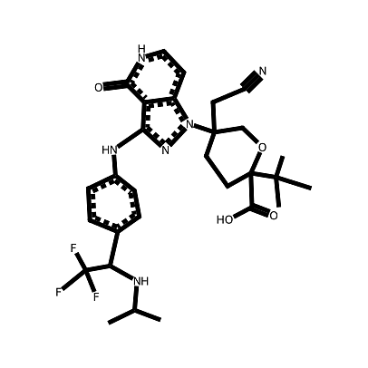 CC(C)NC(c1ccc(Nc2nn(C3(CC#N)CCC(C(=O)O)(C(C)(C)C)OC3)c3cc[nH]c(=O)c23)cc1)C(F)(F)F